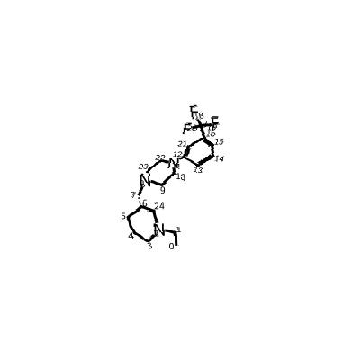 CCN1CCC[C@H](CN2CCN(c3cccc(C(F)(F)F)c3)CC2)C1